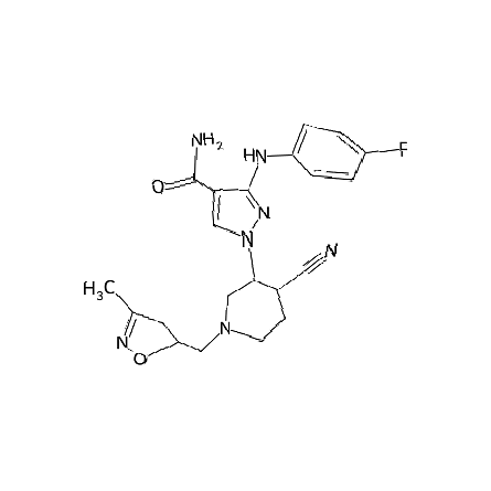 CC1=NOC(CN2CCC(C#N)C(n3cc(C(N)=O)c(Nc4ccc(F)cc4)n3)C2)C1